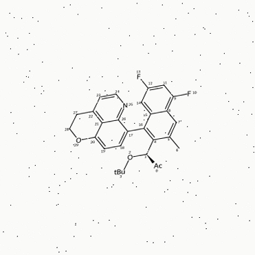 CC(=O)[C@@H](OC(C)(C)C)c1c(C)cc2c(F)cc(F)cc2c1-c1ccc2c3c(ccnc13)CCO2